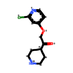 O=C(COc1ccnc(Cl)c1)C1CCNCC1